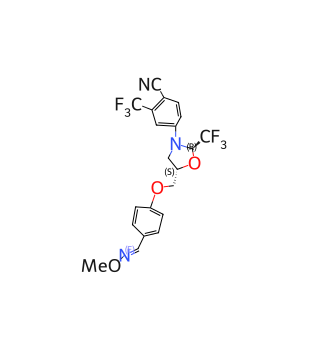 CO/N=C/c1ccc(OC[C@@H]2CN(c3ccc(C#N)c(C(F)(F)F)c3)[C@@H](C(F)(F)F)O2)cc1